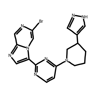 Brc1cn2c(-c3nccc(N4CCCC(c5cn[nH]c5)C4)n3)cnc2cn1